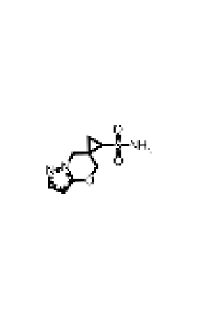 NS(=O)(=O)C1CC12COc1ccnn1C2